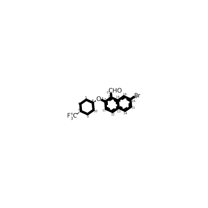 O=Cc1c(O[C@H]2CC[C@@H](C(F)(F)F)CC2)ccc2ccc(Br)cc12